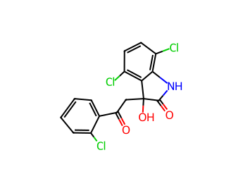 O=C(CC1(O)C(=O)Nc2c(Cl)ccc(Cl)c21)c1ccccc1Cl